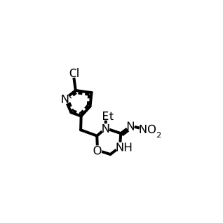 CCN1C(=N[N+](=O)[O-])NCOC1Cc1ccc(Cl)nc1